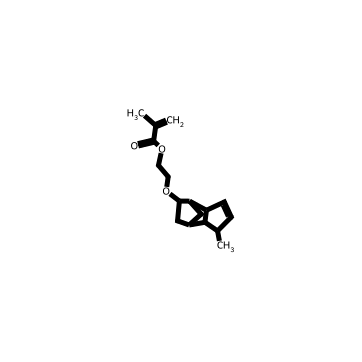 C=C(C)C(=O)OCCOC1CC2CC1C1C=CC(C)C21